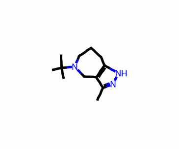 Cc1n[nH]c2c1CN(C(C)(C)C)CCC2